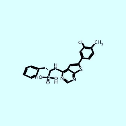 Cc1ccc(-c2cc3c(N[C@@H](Cc4ccccc4)P(=O)(O)O)ncnc3s2)cc1Cl